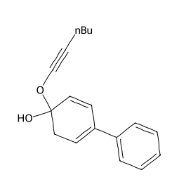 CCCCC#COC1(O)C=CC(c2ccccc2)=CC1